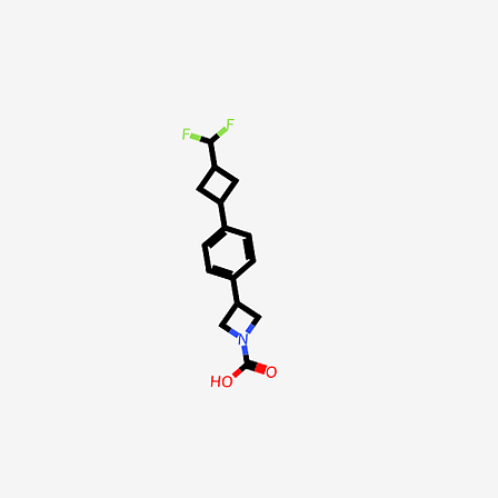 O=C(O)N1CC(c2ccc(C3CC(C(F)F)C3)cc2)C1